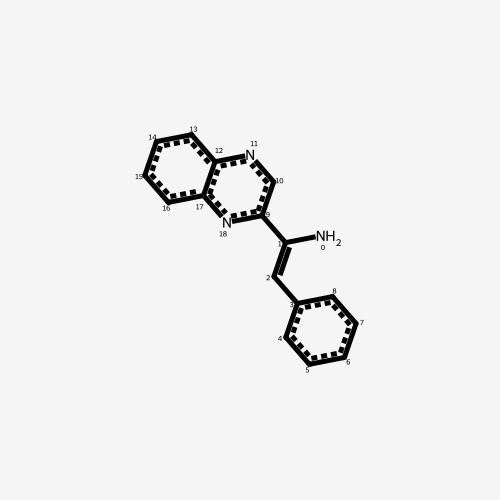 NC(=Cc1ccccc1)c1cnc2ccccc2n1